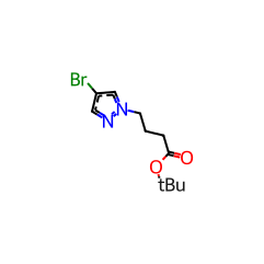 CC(C)(C)OC(=O)CCCn1cc(Br)cn1